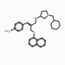 O=C(O)c1ccc(/C=C(/CNC2CCN(CC3CCCCC3)C2)COc2cccc3ccccc23)cc1